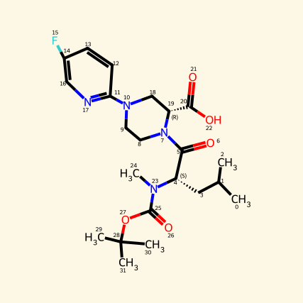 CC(C)C[C@@H](C(=O)N1CCN(c2ccc(F)cn2)C[C@@H]1C(=O)O)N(C)C(=O)OC(C)(C)C